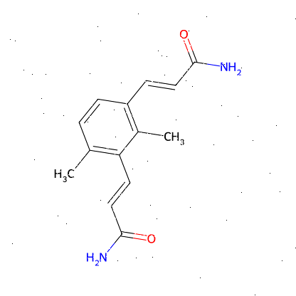 Cc1ccc(C=CC(N)=O)c(C)c1C=CC(N)=O